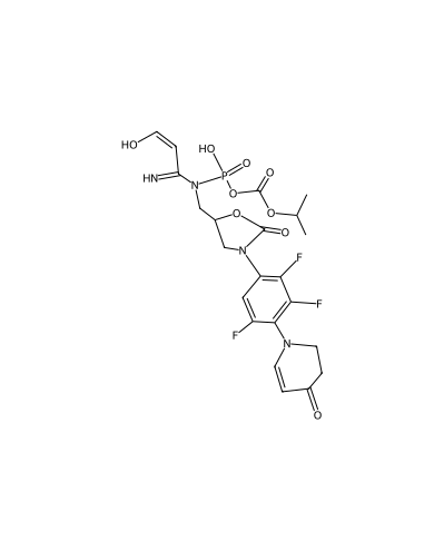 CC(C)OC(=O)OP(=O)(O)N(CC1CN(c2cc(F)c(N3C=CC(=O)CC3)c(F)c2F)C(=O)O1)C(=N)/C=C\O